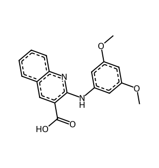 COc1cc(Nc2nc3ccccc3cc2C(=O)O)cc(OC)c1